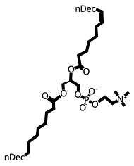 CCCCCCCCCC/C=C\CCCCCC(=O)O[C@H](COC(=O)CCCCCCCCCCCCCCCCC)COP(=O)([O-])OCC[N+](C)(C)C